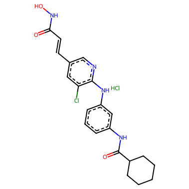 Cl.O=C(C=Cc1cnc(Nc2cccc(NC(=O)C3CCCCC3)c2)c(Cl)c1)NO